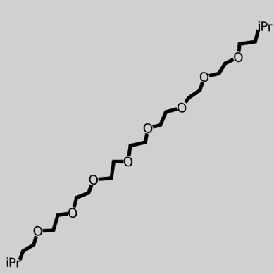 CC(C)CCOCCOCCOCCOCCOCCOCCOCCOCCC(C)C